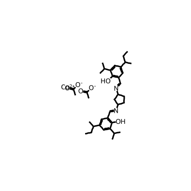 CC(=O)[O-].CC(=O)[O-].CCC(C)c1cc(C=NC2CCC(N=Cc3cc(C(C)CC)cc(C(C)C)c3O)C2)c(O)c(C(C)C)c1.[Co+2]